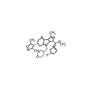 COC(=O)c1nn(C)c2c3ncc(-c4c(C)noc4C)cc3n([C@H](c3ncccc3F)C3CCOCC3)c12